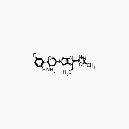 CCn1c(-c2nnc(C)o2)nc2c1CN([C@H]1CO[C@H](c3cc(F)ccc3F)[C@@H](N)C1)C2